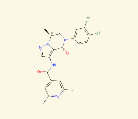 Cc1cc(C(=O)Nc2cnn3c2C(=O)N(c2ccc(Cl)c(Cl)c2)C[C@@H]3C)cc(C)n1